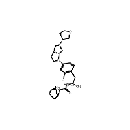 N#C[C@H](Cc1ccc(N2CCC3CN(C4CCOC4)CC32)cc1F)NC(=O)C1NC2CCC1C2